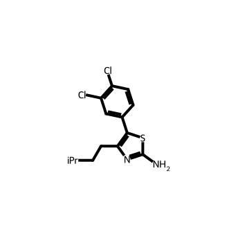 CC(C)CCc1nc(N)sc1-c1ccc(Cl)c(Cl)c1